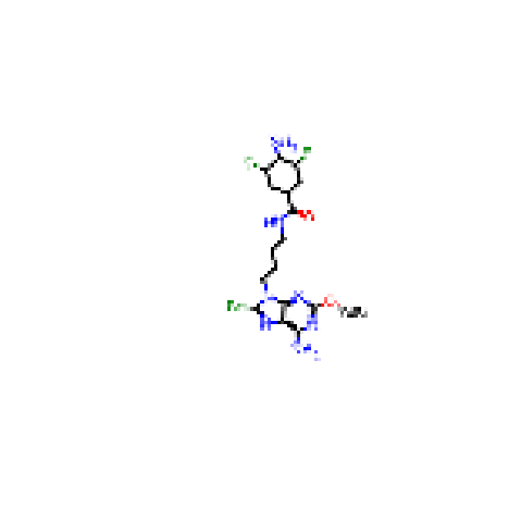 CCCCOc1nc(N)c2nc(Br)n(CCCCNC(=O)C3CC(F)C(N)C(F)C3)c2n1